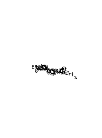 CCNC(=O)N1CCC2(CCn3nc(-c4cnc5ccc(OCC6CC(=O)N(C)C6)cc5c4)cc32)C1